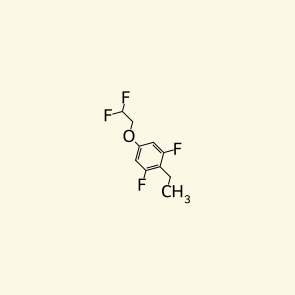 CCc1c(F)cc(OCC(F)F)cc1F